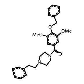 COc1cc(C(=O)N2CCN(CCc3ccccc3)CC2)cc(OC)c1OCc1ccccc1